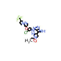 C=CC(=O)N1CCC(c2c[nH]c3ncnc(Nc4ccc(Oc5ccnc(N6CCC(C(F)(F)F)C6)c5)c(Cl)c4)c23)CC1